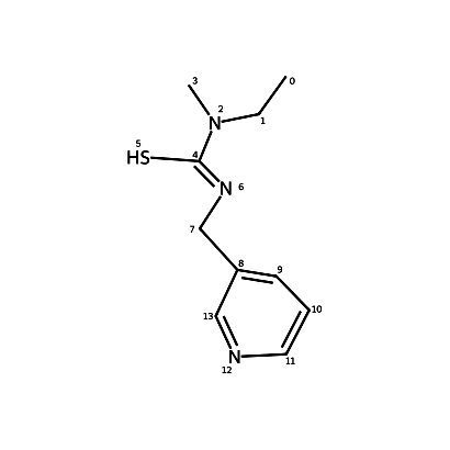 CCN(C)C(S)=NCc1cccnc1